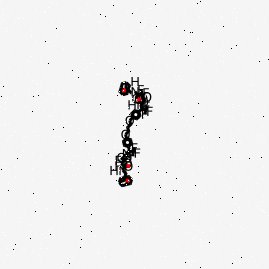 O=C(NCC12CC3CC(CC(C3)C1)C2)C(F)(F)S(=O)(=O)ON=C(c1ccc(OCCCOc2ccc(C(NOS(=O)(=O)C(F)(F)C(=O)NCC34CC5CC(CC(C5)C3)C4)C(F)(F)F)cc2)cc1)C(F)(F)F